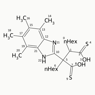 CCCCCCC(C(O)=S)C(CCCCCC)(C(O)=S)c1nc2c(C)c(C)c(C)c(C)c2[nH]1